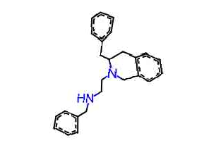 c1ccc(CNCCN2Cc3ccccc3CC2Cc2ccccc2)cc1